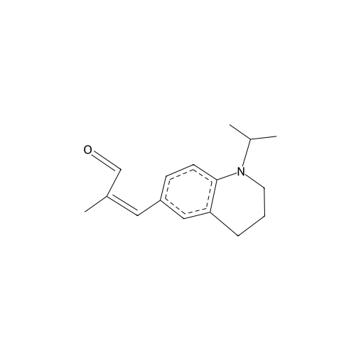 CC(C=O)=Cc1ccc2c(c1)CCCN2C(C)C